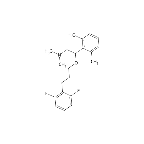 Cc1cccc(C)c1C(CN(C)C)OCCCc1c(F)cccc1F